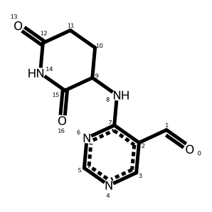 O=Cc1cncnc1NC1CCC(=O)NC1=O